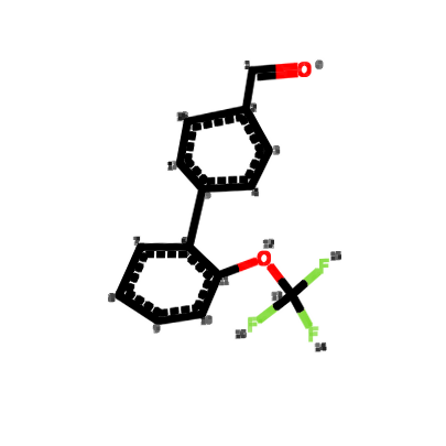 O=Cc1ccc(-c2ccccc2OC(F)(F)F)cc1